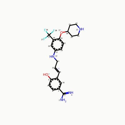 N=C(N)c1ccc(O)c(/C=C/CNc2ccc(OC3CCNCC3)c(C(F)(F)F)c2)c1